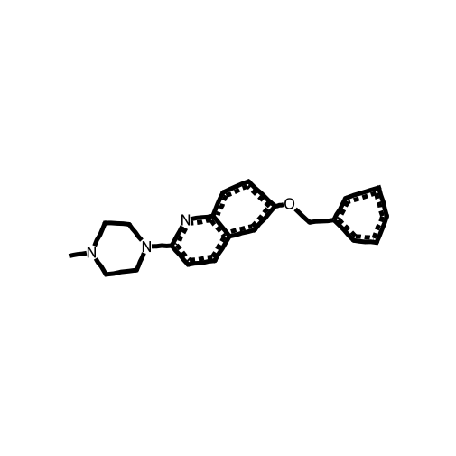 CN1CCN(c2ccc3cc(OCc4ccccc4)ccc3n2)CC1